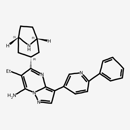 CCc1c([C@H]2C[C@H]3CC[C@@H](C2)N3)nc2c(-c3ccc(-c4ccccc4)nc3)cnn2c1N